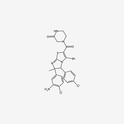 CC(C)C1=C(C(=O)N2CCNC(=O)C2)SC2=NC(C)(c3ccc(Cl)c(N)c3)C(c3ccc(Cl)cc3)N21